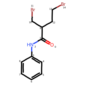 O=C(Nc1ccccc1)C(CBr)CCBr